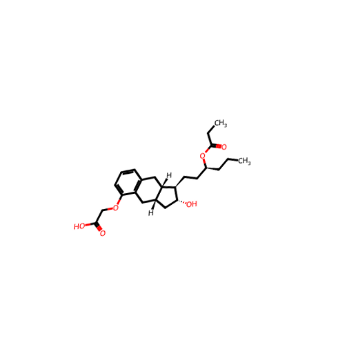 CCC[C@@H](CC[C@@H]1[C@H]2Cc3cccc(OCC(=O)O)c3C[C@H]2C[C@H]1O)OC(=O)CC